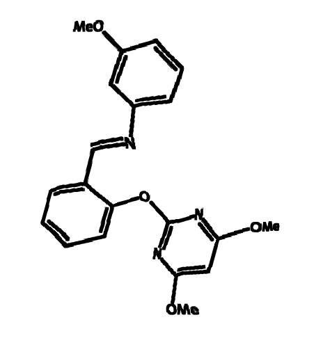 COc1cccc(N=Cc2ccccc2Oc2nc(OC)cc(OC)n2)c1